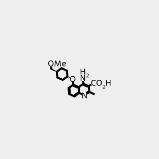 COC[C@H]1CC[C@H](Oc2cccc3nc(C)c(C(=O)O)c(N)c23)CC1